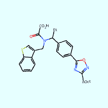 CCCCCCCCc1noc(-c2ccc(C(CC)N(Cc3csc4ccccc34)C(=O)C(=O)O)cc2)n1